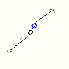 CCCCCCCCCc1cnc(-c2ccc(OCCC(F)CCCC(F)CCC)cc2)nc1